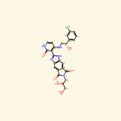 O=C1c2cc3nc(-c4c(NC[C@@H](O)c5cccc(Cl)c5)cc[nH]c4=O)[nH]c3cc2C(=O)N1CC(O)CO